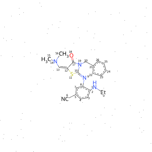 CCNc1ccc(C#N)cc1/N=C1\SC(=CN(C)C)C(=O)N1Cc1ccccc1